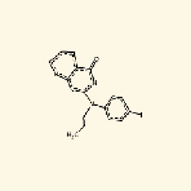 CCCN(c1ccc(I)cc1)c1nc(=O)c2cccnc2s1